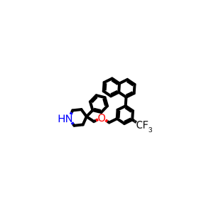 FC(F)(F)c1cc(COCC2(c3ccccc3)CCNCC2)cc(-c2cccc3ccccc23)c1